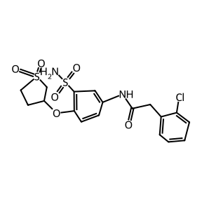 NS(=O)(=O)c1cc(NC(=O)Cc2ccccc2Cl)ccc1OC1CCS(=O)(=O)C1